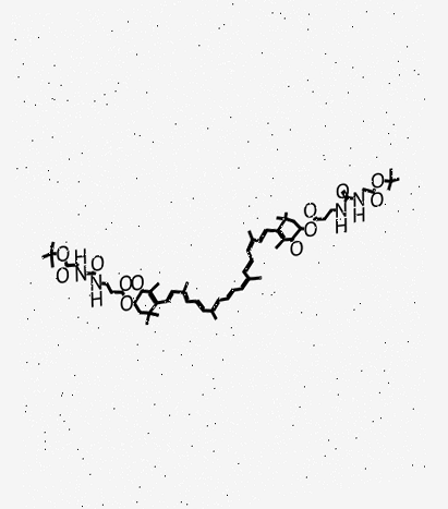 CC(C=CC=C(C)C=CC1=C(C)C(=O)C(OC(=O)CCNC(=O)NCC(=O)OC(C)(C)C)CC1(C)C)=CC=CC=C(C)C=CC=C(C)C=CC1=C(C)C(=O)C(OC(=O)CCNC(=O)NCC(=O)OC(C)(C)C)CC1(C)C